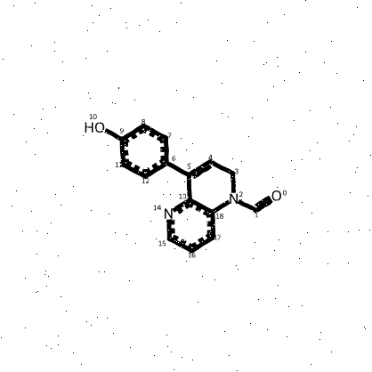 O=CN1CC=C(c2ccc(O)cc2)c2ncccc21